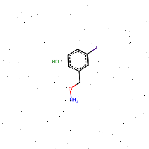 Cl.NOCc1cccc(I)c1